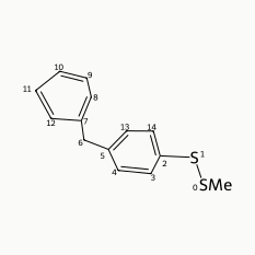 CSSc1ccc(Cc2ccccc2)cc1